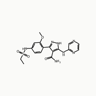 CCS(=O)(=O)Nc1ccc(-c2n[nH]c(Nc3cnccn3)c2C(N)=O)c(OC)c1